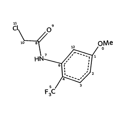 COc1ccc(C(F)(F)F)c(NC(=O)CCl)c1